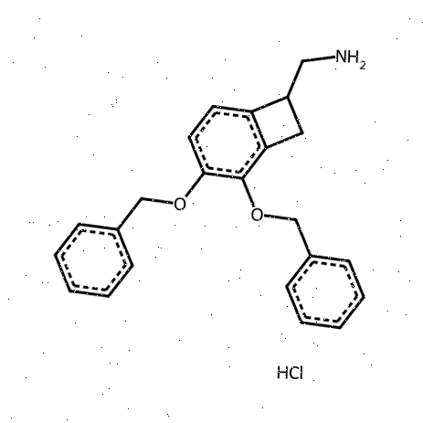 Cl.NCC1Cc2c1ccc(OCc1ccccc1)c2OCc1ccccc1